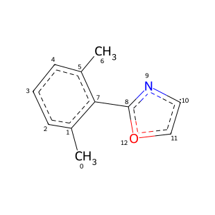 Cc1cccc(C)c1-c1n[c]co1